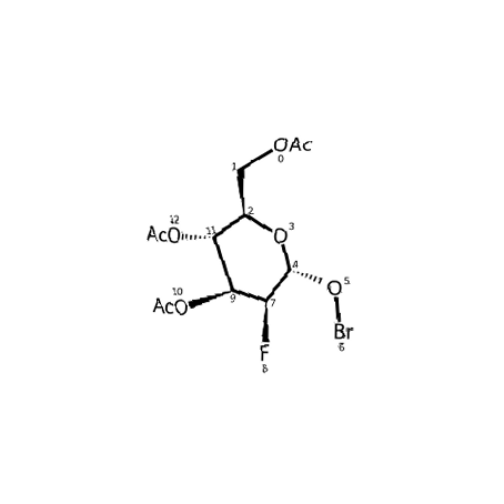 CC(=O)OC[C@H]1O[C@H](OBr)[C@@H](F)[C@@H](OC(C)=O)[C@@H]1OC(C)=O